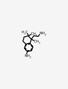 CC1(C)CCc2cc(N)ccc2C1(C)CCN